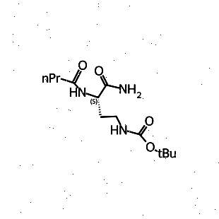 CCCC(=O)N[C@@H](CCNC(=O)OC(C)(C)C)C(N)=O